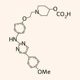 COc1ccc(-c2cnc(Nc3ccc(OCCN4CCC(OC(=O)O)CC4)cc3)nc2)cc1